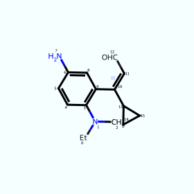 CCN(C)c1ccc(N)cc1/C(=C\C=O)C1CC1